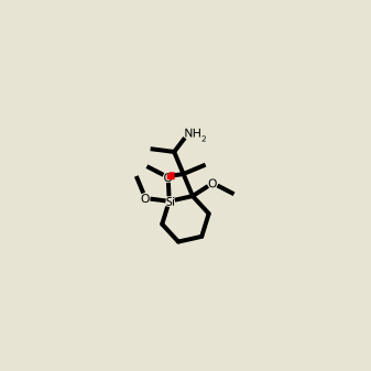 COC1(C(C)(C)C(C)N)CCCC[Si]1(OC)OC